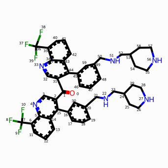 O=C(c1cnc2c(C(F)(F)F)cccc2c1-c1cccc(CNCC2CCNCC2)c1)c1cnc2c(C(F)(F)F)cccc2c1-c1cccc(CNCC2CCNCC2)c1